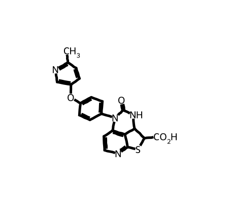 Cc1ccc(Oc2ccc(N3C(=O)NC4c5c3ccnc5SC4C(=O)O)cc2)cn1